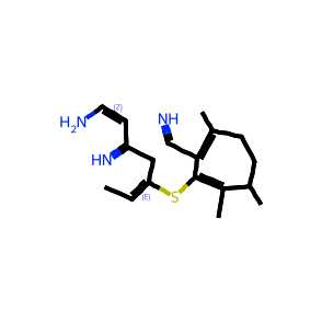 C/C=C(\CC(=N)/C=C\N)SC1=C(C)C(C)CCC(C)=C1C=N